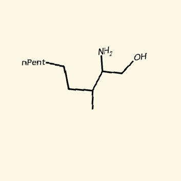 CCCCCCCC(C)C(N)CO